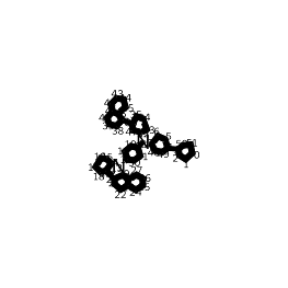 c1ccc(-c2ccc(N(c3ccc(-n4c5ccccc5c5ccc6ccccc6c54)cc3)c3cccc(-c4cccc5ccccc45)c3)cc2)cc1